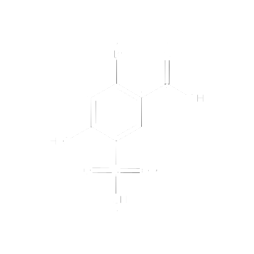 Cc1cc(Br)c(C(=O)O)cc1S(C)(=O)=O